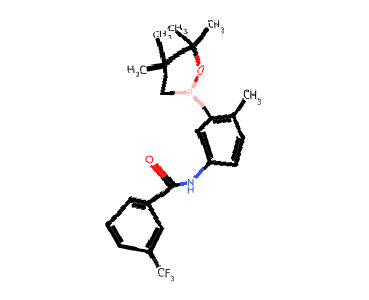 Cc1ccc(NC(=O)c2cccc(C(F)(F)F)c2)cc1B1CC(C)(C)C(C)(C)O1